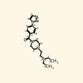 CCN(CC)CCN1CCN(C(=O)c2ccc(-n3ccnn3)cc2)CC1